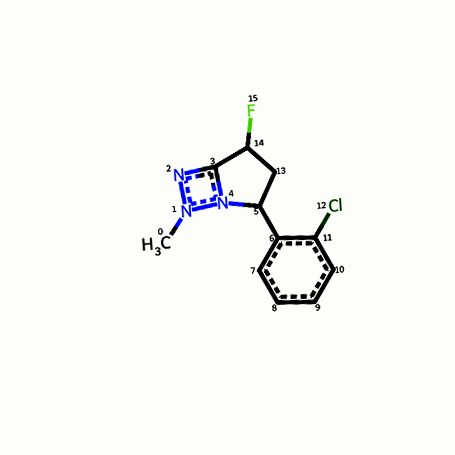 Cn1nc2n1C(c1ccccc1Cl)CC2F